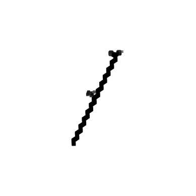 CCCCCCCCCCCCC=CCCCCCCCCCCCC(=O)[O-].[Ag+]